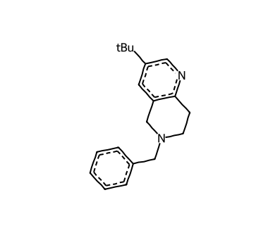 CC(C)(C)c1cnc2c(c1)CN(Cc1ccccc1)CC2